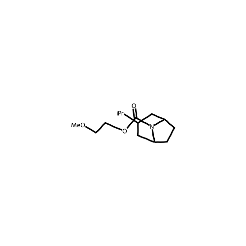 COCCOC(=O)N1C2CCC1CC(C(C)C)C2